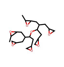 CC1OC1CC(CC1CO1)C(CC1CO1)OC(CC1CO1)C(CC1CO1)CC1OC1C